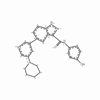 O=C(Nc1ccc(O)cc1)c1n[nH]c2ccc(-c3cncc(N4CCCCC4)c3)cc12